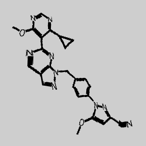 COc1ncnc(C2CC2)c1-c1ncc2cnn(Cc3ccc(-n4nc(C#N)cc4OC)cc3)c2n1